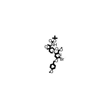 COC(=O)c1nc(Br)c(OCc2ccc(OC)cc2)cc1N1CCC2(CC1)COC[C@H]2NC(=O)OC(C)(C)C